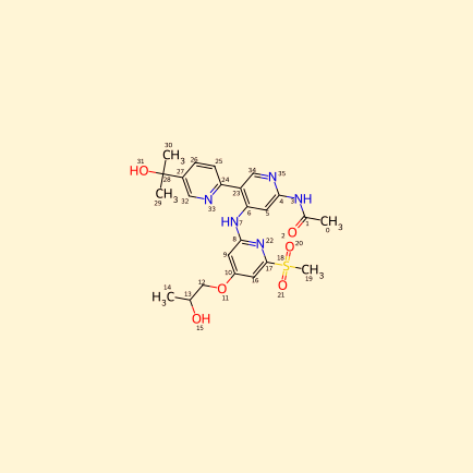 CC(=O)Nc1cc(Nc2cc(OCC(C)O)cc(S(C)(=O)=O)n2)c(-c2ccc(C(C)(C)O)cn2)cn1